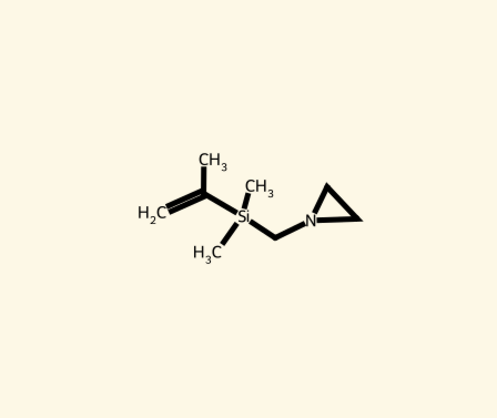 C=C(C)[Si](C)(C)CN1CC1